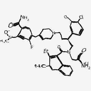 CCc1c(C#N)cc2ccccc2c1C(=O)N(CC(N)=O)C[C@@H](CCN1CCC(c2cc(C(N)=O)c([S+](C)[O-])cc2F)CC1)c1ccc(Cl)c(Cl)c1